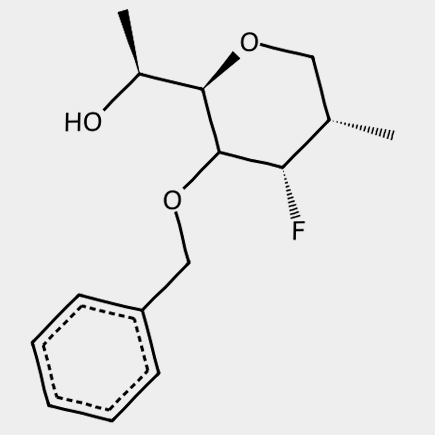 C[C@H](O)[C@H]1OC[C@H](C)[C@H](F)C1OCc1ccccc1